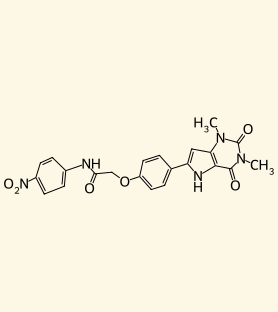 Cn1c(=O)c2[nH]c(-c3ccc(OCC(=O)Nc4ccc([N+](=O)[O-])cc4)cc3)cc2n(C)c1=O